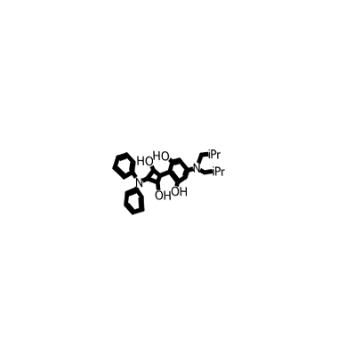 CC(C)CN(CC(C)C)c1cc(O)c(C2C(O)C(N(c3ccccc3)c3ccccc3)C2O)c(O)c1